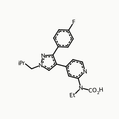 CCN(C(=O)O)c1cc(-c2cn(CC(C)C)nc2-c2ccc(F)cc2)ccn1